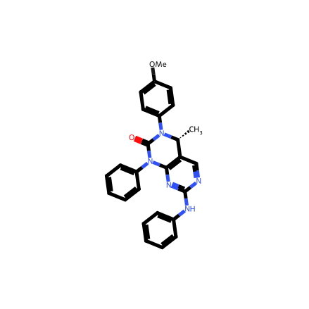 COc1ccc(N2C(=O)N(c3ccccc3)c3nc(Nc4ccccc4)ncc3[C@H]2C)cc1